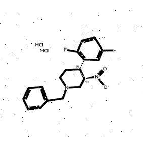 Cl.Cl.O=[N+]([O-])[C@H]1CN(Cc2ccccc2)CC[C@@H]1c1cc(F)ccc1F